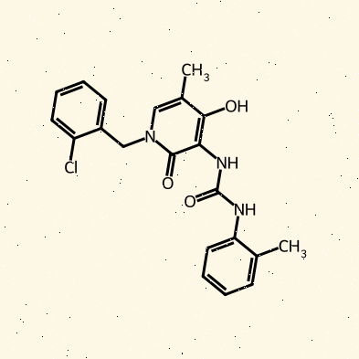 Cc1ccccc1NC(=O)Nc1c(O)c(C)cn(Cc2ccccc2Cl)c1=O